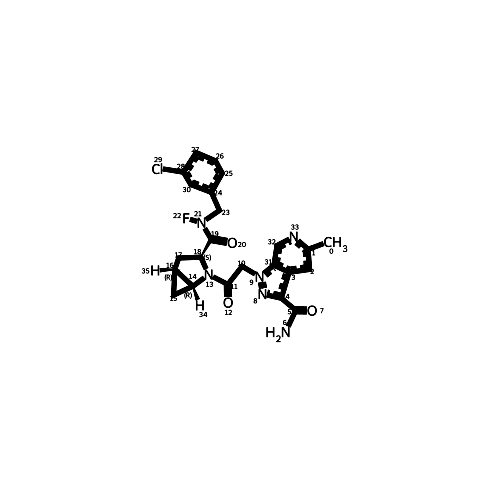 Cc1cc2c(C(N)=O)nn(CC(=O)N3[C@@H]4C[C@@H]4C[C@H]3C(=O)N(F)Cc3cccc(Cl)c3)c2cn1